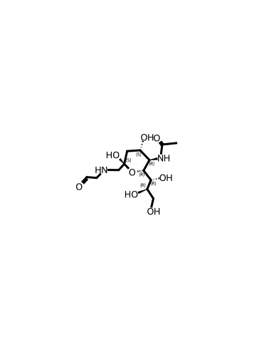 CC(=O)N[C@H]1[C@H]([C@H](O)[C@H](O)CO)O[C@](O)(CNCC=O)C[C@@H]1O